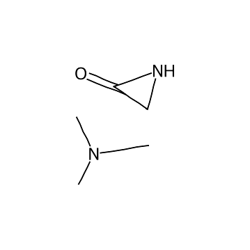 CN(C)C.O=C1CN1